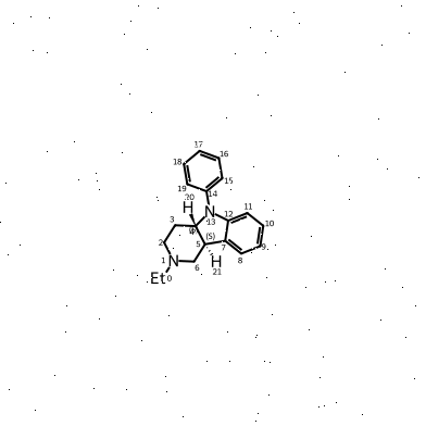 CCN1CC[C@H]2[C@H](C1)c1ccccc1N2c1ccccc1